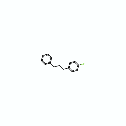 Fc1ccc(CCCc2ccccc2)cc1